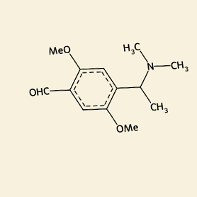 COc1cc(C(C)N(C)C)c(OC)cc1C=O